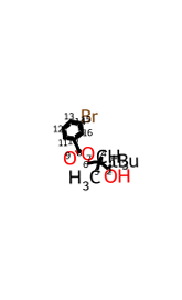 CC(C)(C)C(O)C(C)(C)COC(=O)c1cccc(Br)c1